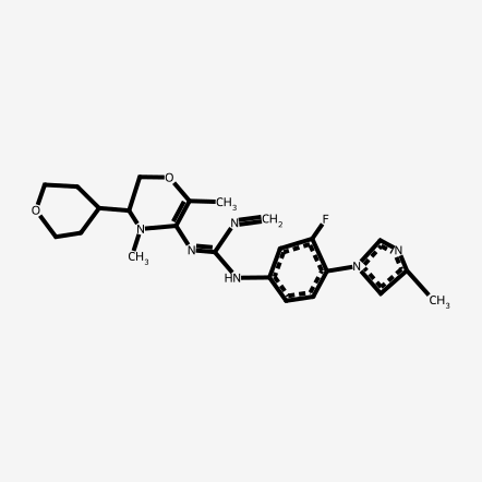 C=N/C(=N\C1=C(C)OCC(C2CCOCC2)N1C)Nc1ccc(-n2cnc(C)c2)c(F)c1